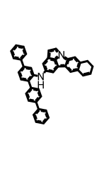 C1=Cc2cc3c4cc(Nc5cc(-c6ccccc6)ccc5-c5ccc(-c6ccccc6)cc5)cc5ccn(c3cc2CC1)c54